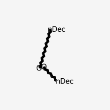 CCCCCCCCCCCCCCCCCCCCCCCCC(=O)OCCCCCCCCCCCCCCCCC